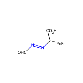 CCC[C@H](N=NC=O)C(=O)O